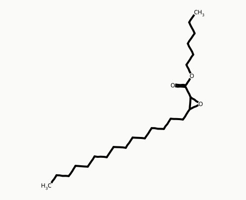 CCCCCCCCCCCCCCCC1OC1C(=O)OCCCCCC